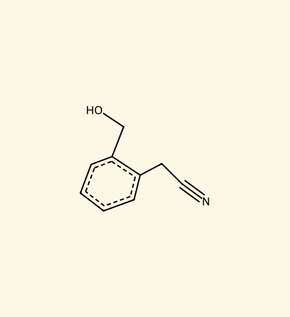 N#CCc1ccccc1CO